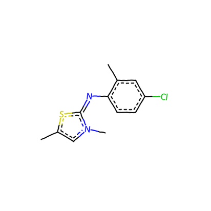 Cc1cn(C)c(=Nc2ccc(Cl)cc2C)s1